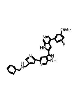 COc1cc(F)cc(-c2cncc3[nH]c(-c4n[nH]c5cnc(-c6cncc(CNCc7ccccc7)c6)cc45)cc23)c1